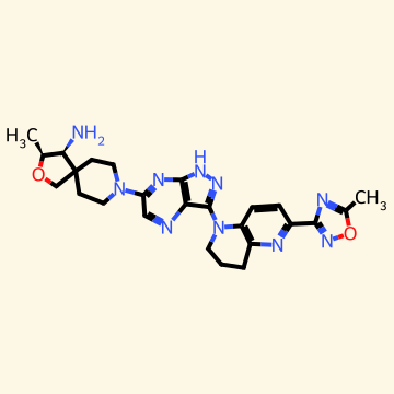 Cc1nc(-c2ccc3c(n2)CCCN3c2n[nH]c3nc(N4CCC5(CC4)CO[C@@H](C)[C@H]5N)cnc23)no1